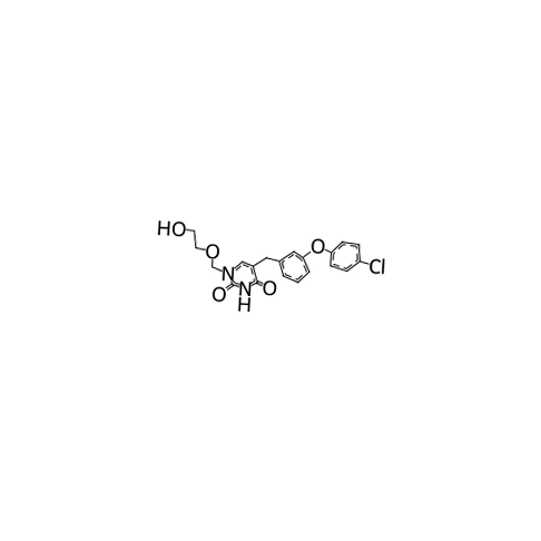 O=c1[nH]c(=O)n(COCCO)cc1Cc1cccc(Oc2ccc(Cl)cc2)c1